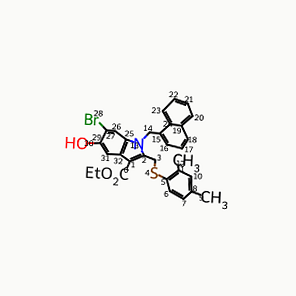 CCOC(=O)c1c(CSc2ccc(C)cc2C)n(Cc2cccc3ccccc23)c2cc(Br)c(O)cc12